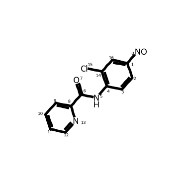 O=Nc1ccc(NC(=O)c2ccccn2)c(Cl)c1